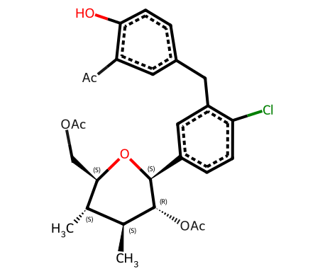 CC(=O)OC[C@H]1O[C@@H](c2ccc(Cl)c(Cc3ccc(O)c(C(C)=O)c3)c2)[C@H](OC(C)=O)[C@@H](C)[C@@H]1C